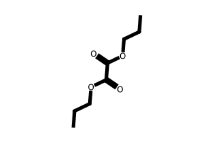 CCCOC(=O)C(=O)OCCC